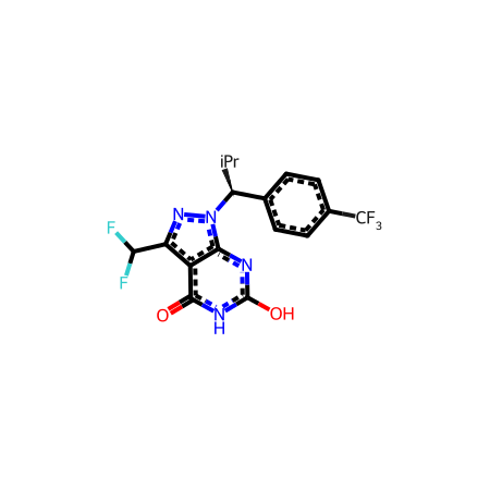 CC(C)[C@@H](c1ccc(C(F)(F)F)cc1)n1nc(C(F)F)c2c(=O)[nH]c(O)nc21